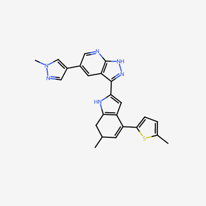 Cc1ccc(C2=CC(C)Cc3[nH]c(-c4n[nH]c5ncc(-c6cnn(C)c6)cc45)cc32)s1